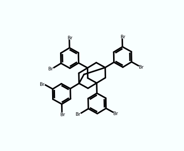 Brc1cc(Br)cc(C23CC4(c5cc(Br)cc(Br)c5)CC(c5cc(Br)cc(Br)c5)(C2)CC(c2cc(Br)cc(Br)c2)(C3)C4)c1